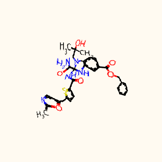 Cc1ncc(-c2ccc(C(=O)NC3(C(N)=O)Nc4cc(C(=O)OCc5ccccc5)ccc4N3CC(C)(C)O)s2)o1